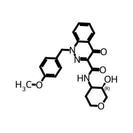 COc1ccc(Cn2nc(C(=O)NC3CCOC[C@@H]3O)c(=O)c3ccccc32)cc1